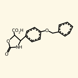 O=C1NC(c2ccc(OCc3ccccc3)cc2)C(C(=O)O)O1